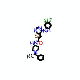 N#CC(c1ccccc1)N1CCC(NC(=O)c2cc3c(Nc4ccc(F)c(Cl)c4)ncnc3s2)CC1